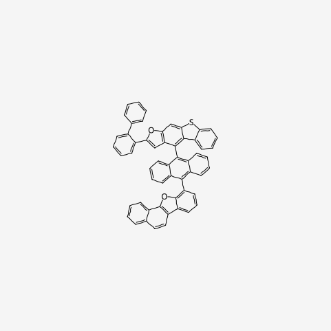 c1ccc(-c2ccccc2-c2cc3c(-c4c5ccccc5c(-c5cccc6c5oc5c7ccccc7ccc65)c5ccccc45)c4c(cc3o2)sc2ccccc24)cc1